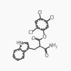 NC(=O)C(Cc1c[nH]c2ccccc12)C(=O)Oc1cc(Cl)c(Cl)cc1Cl